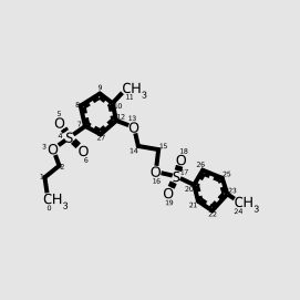 CCCOS(=O)(=O)c1ccc(C)c(OCCOS(=O)(=O)c2ccc(C)cc2)c1